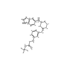 CC(C)(C)OC(=O)COc1cccc(CN2CCCC(Nc3ccc4[nH]ncc4c3)C2)c1